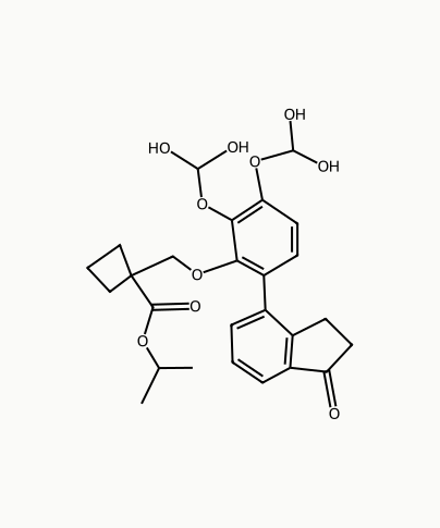 CC(C)OC(=O)C1(COc2c(-c3cccc4c3CCC4=O)ccc(OC(O)O)c2OC(O)O)CCC1